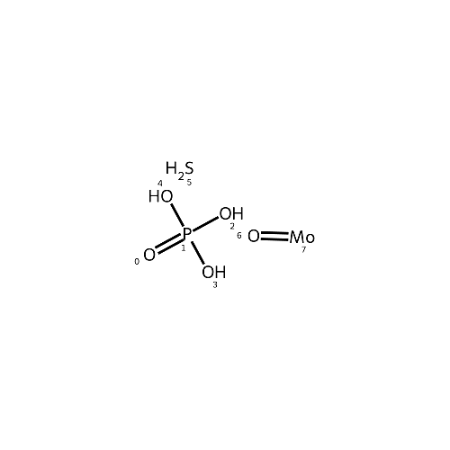 O=P(O)(O)O.S.[O]=[Mo]